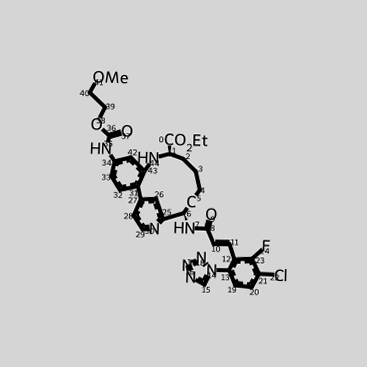 CCOC(=O)[C@H]1CCCC[C@H](NC(=O)/C=C/c2c(-n3cnnn3)ccc(Cl)c2F)c2cc(ccn2)-c2ccc(NC(=O)OCCOC)cc2N1